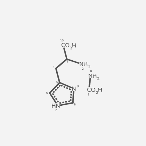 NC(=O)O.NC(Cc1c[nH]cn1)C(=O)O